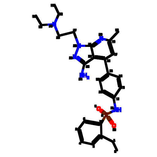 CCc1ccccc1S(=O)(=O)Nc1ccc(-c2cc(C)nc3c2c(N)nn3CCN(CC)CC)cc1